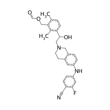 Cc1ccc(C(O)CN2CCc3cc(Nc4ccc(C#N)c(F)c4)ccc3C2)c(C)c1COC=O